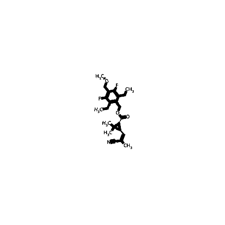 CCc1c(F)c(COC)c(F)c(CC)c1COC(=O)[C@@H]1[C@@H](C=C(C)C#N)C1(C)C